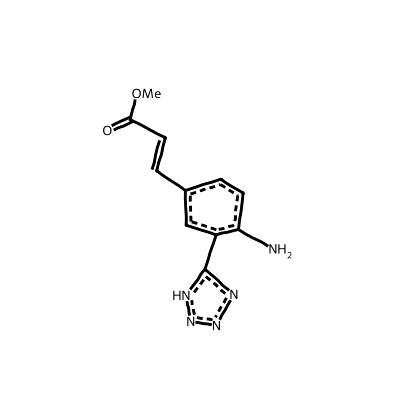 COC(=O)/C=C/c1ccc(N)c(-c2nnn[nH]2)c1